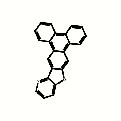 c1cnc2c(c1)oc1cc3c4ccccc4c4ccccc4c3cc12